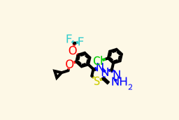 C=C1SCC(c2ccc(OC(F)F)c(OCC3CC3)c2)=NN1/C(=N\N)c1ccccc1Cl